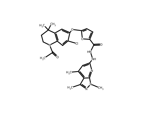 CC(=O)N1CCC(C)(C)c2cc(Oc3ccc(C(=O)NNc4cc(C)c5c(C)nn(C)c5n4)o3)c(Cl)cc21